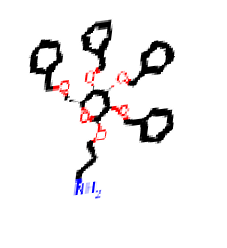 NCCCO[C@H]1O[C@H](COCc2ccccc2)[C@H](OCc2ccccc2)[C@H](OCc2ccccc2)[C@H]1OCc1ccccc1